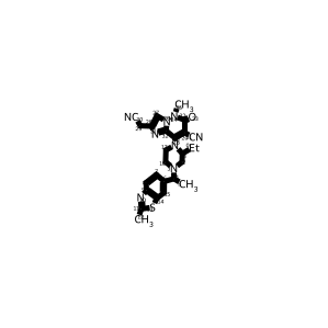 CCC1CN(C(C)c2ccc3nc(C)sc3c2)CCN1c1c(C#N)c(=O)n(C)n2cc(CC#N)nc12